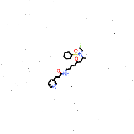 CC(CCCCCCNC(=O)C=Cc1cccnc1)N(CCF)S(=O)(=O)C1CCCCC1